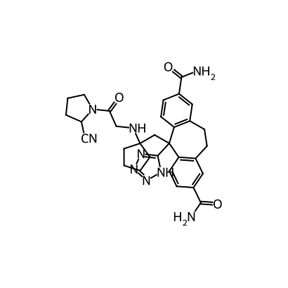 N#CC1CCCN1C(=O)CNC1(CC2(c3nnn[nH]3)c3ccc(C(N)=O)cc3CCc3cc(C(N)=O)ccc32)CCCC1